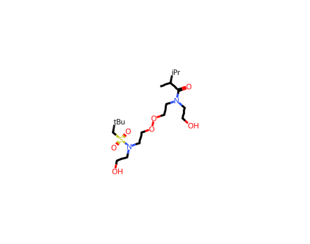 CC(C)C(C)C(=O)N(CCO)CCOOCCN(CCO)S(=O)(=O)CC(C)(C)C